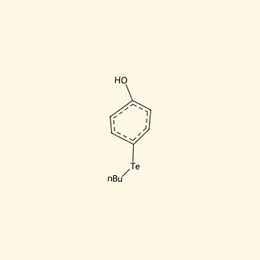 CCCC[Te]c1ccc(O)cc1